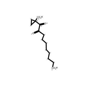 O=C(O)CCCCCCCC(=O)C(=O)C1(C(=O)O)CC1